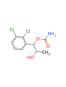 CC(O)C(OC(N)=O)c1cccc(Cl)c1Cl